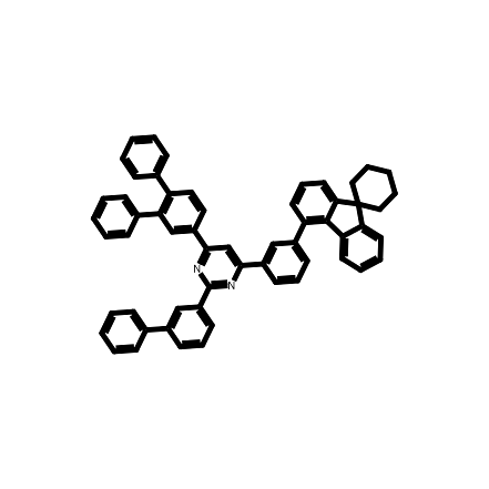 c1ccc(-c2cccc(-c3nc(-c4cccc(-c5cccc6c5-c5ccccc5C65CCCCC5)c4)cc(-c4ccc(-c5ccccc5)c(-c5ccccc5)c4)n3)c2)cc1